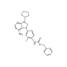 Cc1cc(C2CN(C3CCCC3)c3ncnc(N)c32)ccc1NC(=O)OCc1ccccc1